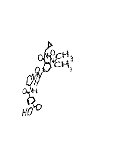 CC(C)n1c(=O)n(CC2CC2)c(=O)c2cc(NC(=O)N3CCCC(NC(=O)c4ccc(C(=O)O)cc4)C3)ccc21